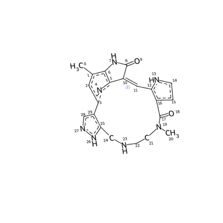 Cc1cc2nc3c1NC(=O)/C3=C\c1[nH]ccc1C(=O)N(C)CCNCc1[nH]ncc1-2